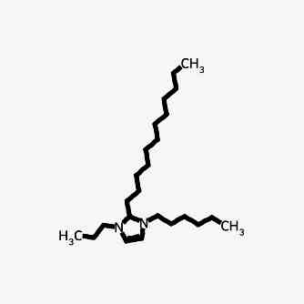 CCCCCCCCCCCCC1N(CCC)C=CN1CCCCCC